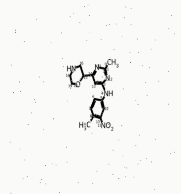 Cc1nc(Nc2ccc(C)c([N+](=O)[O-])c2)cc(C2CNCCO2)n1